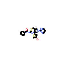 O=C(NC1=N[C@@]2(c3cc(Br)cs3)CN(c3ncccn3)C[C@H]2CS1)c1ccccc1